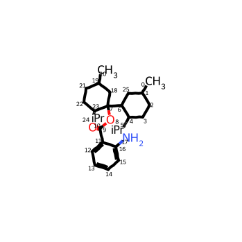 CC1CCC(C(C)C)C(C2(OC(=O)c3ccccc3N)CC(C)CCC2C(C)C)C1